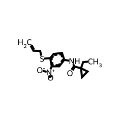 C=CCSc1ccc(NC(=O)C2(CC)CC2)cc1[N+](=O)[O-]